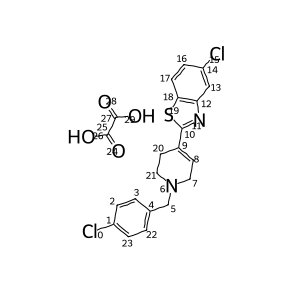 Clc1ccc(CN2CC=C(c3nc4cc(Cl)ccc4s3)CC2)cc1.O=C(O)C(=O)O